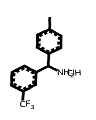 Cc1ccc(C(N)c2cccc(C(F)(F)F)c2)cc1.Cl